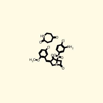 COc1ccc(Cl)cc1C=C1CN2C(=O)CC2(S(=O)(=O)c2ccc(Cl)c(N)c2)C1=O.O=C1CCNC(=O)CC1